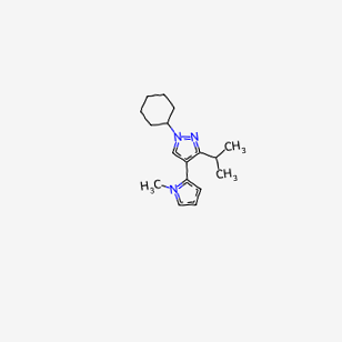 CC(C)c1nn(C2CCCCC2)cc1-c1cccn1C